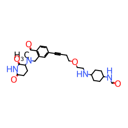 CN(Cc1cc(C#CCCOCCNC2CCC(NC=O)CC2)ccc1C=O)C1CCC(=O)NC1=O